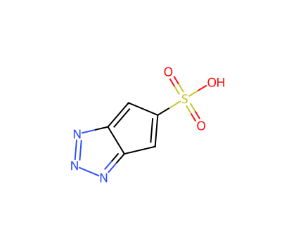 O=S(=O)(O)C1=CC2=NN=NC2=C1